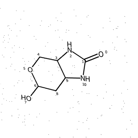 O=C1NC2COC(O)CC2N1